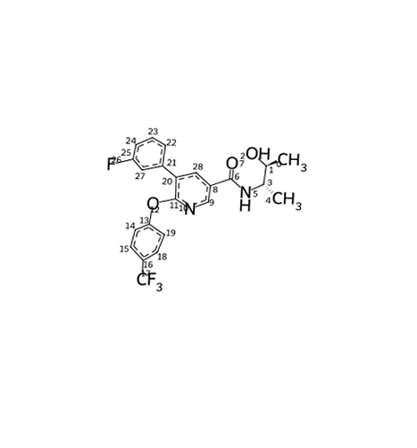 C[C@H](O)[C@H](C)NC(=O)c1cnc(Oc2ccc(C(F)(F)F)cc2)c(-c2cccc(F)c2)c1